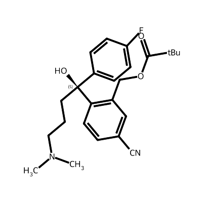 CN(C)CCC[C@](O)(c1ccc(F)cc1)c1ccc(C#N)cc1COC(=O)C(C)(C)C